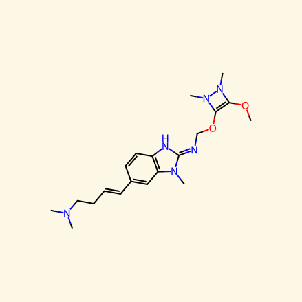 COc1c(OC/N=c2\[nH]c3ccc(/C=C/CCN(C)C)cc3n2C)n(C)n1C